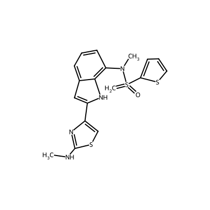 C=S(=O)(c1cccs1)N(C)c1cccc2cc(-c3csc(NC)n3)[nH]c12